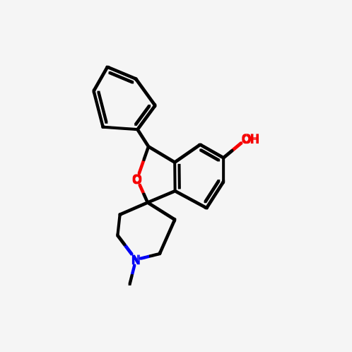 CN1CCC2(CC1)OC(c1ccccc1)c1cc(O)ccc12